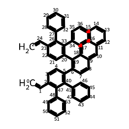 C=Cc1ccc(-c2ccc3cc4ccccc4cc3c2-c2ccc(C=C)c(-c3ccccc3)c2-c2ccccc2)c(-c2ccccc2)c1-c1ccccc1